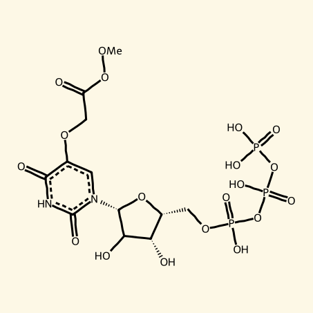 COOC(=O)COc1cn([C@@H]2O[C@H](COP(=O)(O)OP(=O)(O)OP(=O)(O)O)[C@H](O)C2O)c(=O)[nH]c1=O